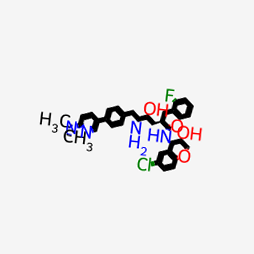 CN(C)c1ccc(-c2ccc(C[C@H](N)[C@@H](O)C[C@@H](Cc3ccccc3F)C(=O)N[C@H]3c4cc(Cl)ccc4OC[C@H]3O)cc2)cn1